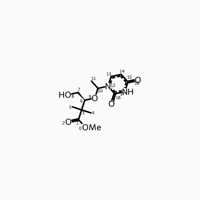 COC(=O)C(C)(C)[C@@H](CO)OC(C)n1ccc(=O)[nH]c1=O